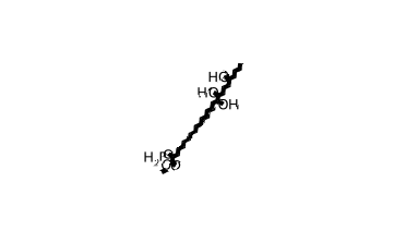 CCCCC(O)CCCC(O)C(O)CCCCCCCCCCCCCCC(OP)C(=O)OCC